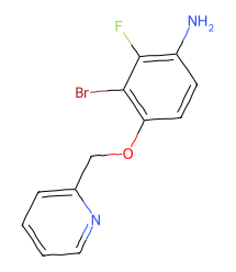 Nc1ccc(OCc2ccccn2)c(Br)c1F